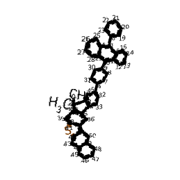 CC1(C)c2cc(-c3ccc(-c4c5ccccc5c(-c5ccccc5)c5ccccc45)cc3)ccc2-c2cc3c(cc21)sc1cc2ccccc2cc13